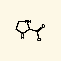 [O]C(=O)C1NCCN1